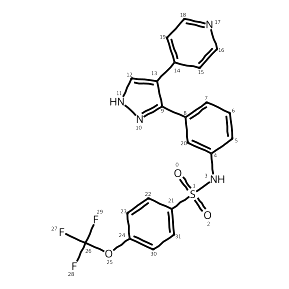 O=S(=O)(Nc1cccc(-c2n[nH]cc2-c2ccncc2)c1)c1ccc(OC(F)(F)F)cc1